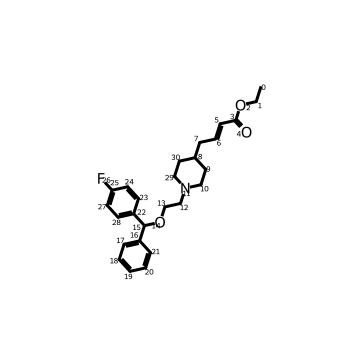 CCOC(=O)C=CCC1CCN(CCOC(c2ccccc2)c2ccc(F)cc2)CC1